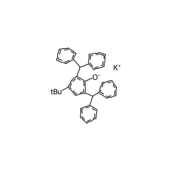 CC(C)(C)c1cc(C(c2ccccc2)c2ccccc2)c([O-])c(C(c2ccccc2)c2ccccc2)c1.[K+]